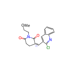 COCCN1C(=O)CC/C(=C/c2cc3ccccc3nc2Cl)C1=O